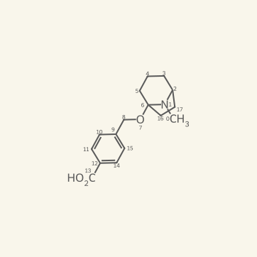 CN1C2CCCC1(OCc1ccc(C(=O)O)cc1)CC2